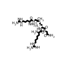 CC(C)(CNC(=O)[C@H](N)CCCNC(=N)N)SSC[C@@H](NC(=O)[C@H](N)CCCCCNC(=N)N)C(=O)NCC(N)=O